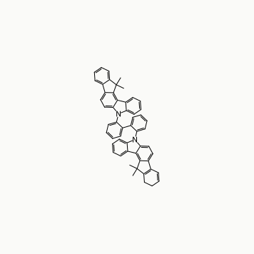 CC1(C)C2=C(C=CCC2)c2ccc3c(c21)c1ccccc1n3-c1ccccc1-c1ccccc1-n1c2ccccc2c2c3c(ccc21)-c1ccccc1C3(C)C